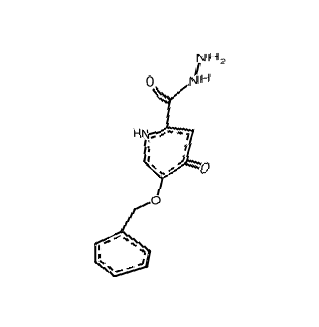 NNC(=O)c1cc(=O)c(OCc2ccccc2)c[nH]1